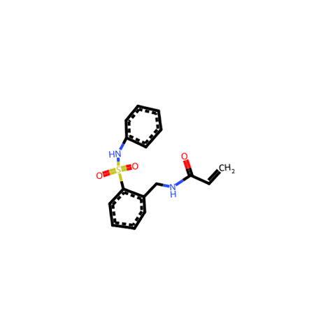 C=CC(=O)NCc1ccccc1S(=O)(=O)Nc1ccccc1